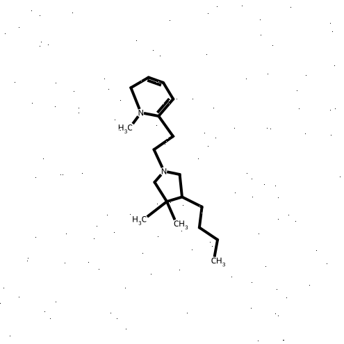 CCCCC1CN(CCC2=CC=CCN2C)CC1(C)C